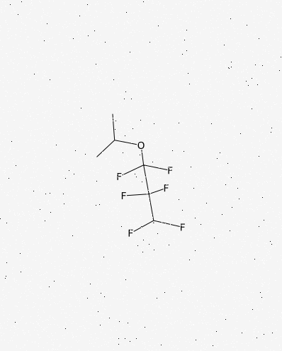 CC(C)OC(F)(F)C(F)(F)[C](F)F